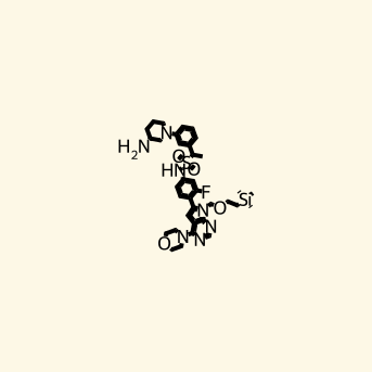 CC(c1cccc(N2CCCC(N)C2)c1)S(=O)(=O)Nc1ccc(-c2cc3c(N4CCOCC4)ncnc3n2COCC[Si](C)(C)C)c(F)c1